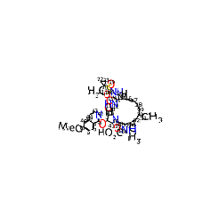 COc1ccc2c(O[C@@H]3C[C@H]4C(=O)N[C@]5(C(=O)NS(=O)(=O)C6(C)CC6)C[C@H]5C=CCC[C@@H](C)C[C@@H](C)[C@H](NC(=O)O)C(=O)N4C3)nccc2c1